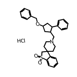 Cl.O=S1(=O)CC2(CCN(CC3CC(OCc4ccccc4)CC3c3ccccc3)CC2)c2ccccc21